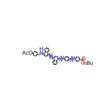 CCCCOC(=O)c1ccc(/N=N/c2ccc(/N=N/c3ccc(/N=N/c4ccc(NCc5ccc(OC(C)=O)cc5)c5ccccc45)c4ccccc34)cc2)cc1